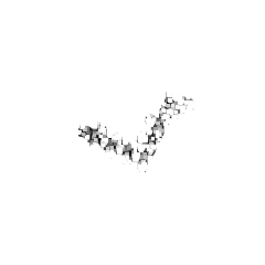 [Ba+2].[Ba+2].[Ca+2].[Ca+2].[O]=[Ti]([O-])[O-].[O]=[Ti]([O-])[O-].[O]=[Ti]([O-])[O-].[O]=[Zr]([O-])[O-].[O]=[Zr]([O-])[O-].[O]=[Zr]([O-])[O-].[Sr+2].[Sr+2]